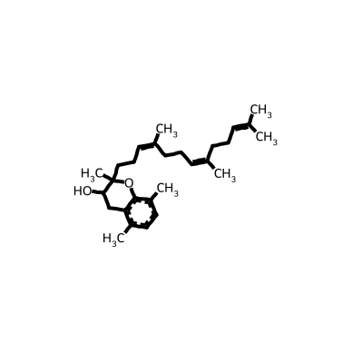 CC(C)=CCCC(C)=CCCC(C)=CCCC1(C)Oc2c(C)ccc(C)c2CC1O